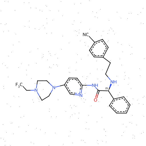 N#Cc1ccc(CCN[C@H](C(=O)Nc2ccc(N3CCN(CC(F)(F)F)CC3)cn2)c2ccccc2)cc1